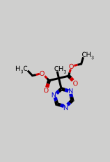 CCOC(=O)C(C)(C(=O)OCC)c1ncncn1